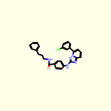 O=C(NCCCc1ccccc1)c1ccc(Nc2nc3cccc(-c4cccc(Cl)c4)n3n2)cc1